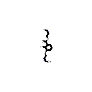 CC/C=C\COC(=O)c1cccc(OC/C=C\CC)c1CC